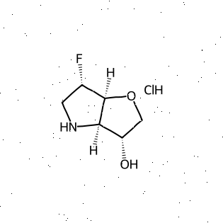 Cl.O[C@H]1CO[C@H]2[C@@H]1NC[C@@H]2F